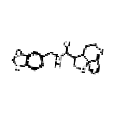 O=C(NCc1ccc2c(c1)OCO2)C1CSC23C=CC=CC2=NCCC13